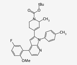 COc1ccc(F)cc1-c1ccnc2c1cc(C1=CC(C)N(C(=O)OC(C)(C)C)CC1)n2-c1ccc(C)cc1